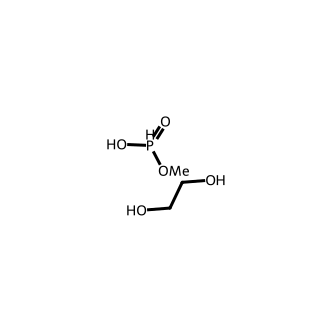 CO[PH](=O)O.OCCO